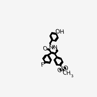 CS(=O)(=O)c1ccc(-c2cnn(Cc3ccc(O)cc3)c(=O)c2-c2ccc(F)cc2)cc1